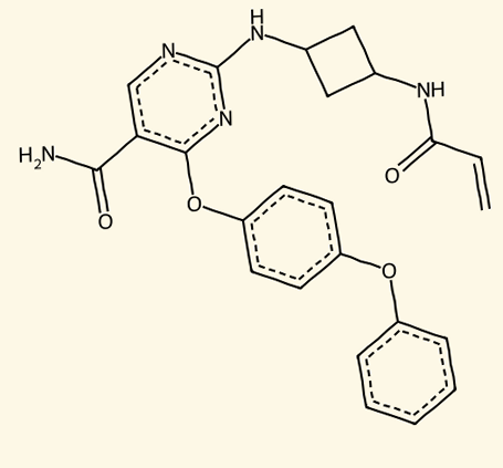 C=CC(=O)NC1CC(Nc2ncc(C(N)=O)c(Oc3ccc(Oc4ccccc4)cc3)n2)C1